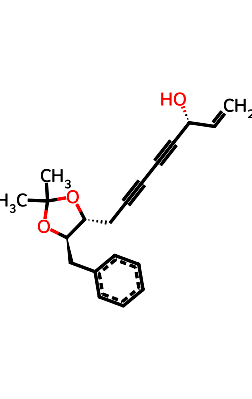 C=C[C@@H](O)C#CC#CC[C@H]1OC(C)(C)O[C@@H]1Cc1ccccc1